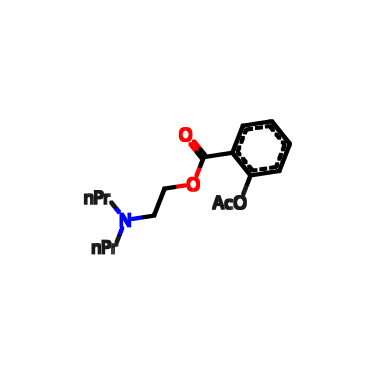 CCCN(CCC)CCOC(=O)c1ccccc1OC(C)=O